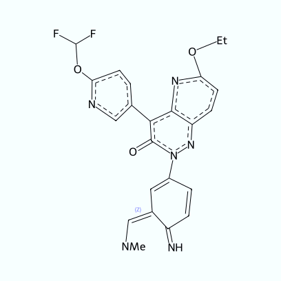 CCOc1ccc2nn(C3=C/C(=C/NC)C(=N)C=C3)c(=O)c(-c3ccc(OC(F)F)nc3)c2n1